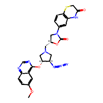 COc1ccc2ncnc(O[C@@H]3CN(C[C@@H]4CN(c5ccc6c(c5)NC(=O)CS6)C(=O)O4)C[C@H]3N=[N+]=[N-])c2c1